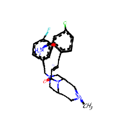 CN1CC2CN(Cc3ccc(F)cc3)CC(C1)N2C(=O)/C=C/c1ccc(Cl)cc1N